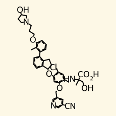 Cc1c(OCCCN2CCC(O)C2)cccc1-c1cccc2c1CCC2Oc1cc(OCc2cncc(C#N)c2)c(CNC(C)(CO)C(=O)O)cc1Cl